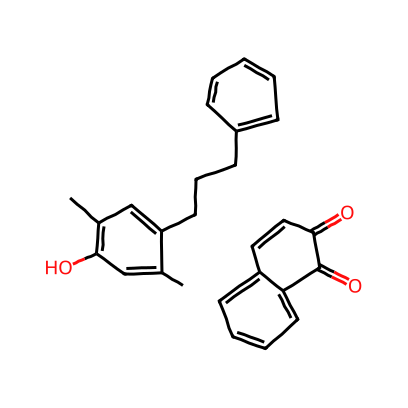 Cc1cc(CCCc2ccccc2)c(C)cc1O.O=C1C=Cc2ccccc2C1=O